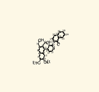 CCOc1cc2cc(CO)c(CO)c(-c3ccnc(-n4ccc5ccccc5c4=O)c3)c2cc1OCC